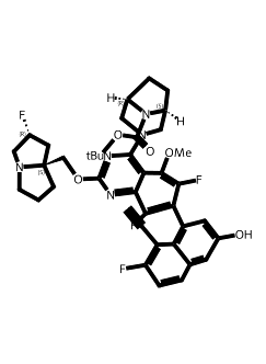 C#Cc1c(F)ccc2cc(O)cc(-c3c(F)c(OC)c4c(N5C[C@H]6CC[C@@H](C5)N6C(=O)OC(C)(C)C)nc(OC[C@@]56CCCN5C[C@H](F)C6)nc4c3F)c12